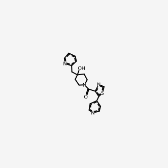 O=C(c1ncsc1-c1ccncc1)N1CCC(O)(Cc2ccccn2)CC1